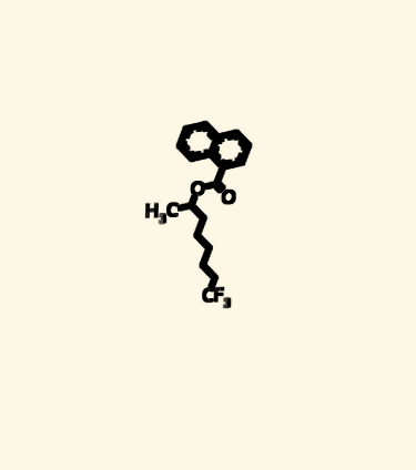 CC(CCCCCC(F)(F)F)OC(=O)c1cccc2ccccc12